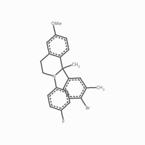 COc1ccc2c(c1)CCN(c1ccc(F)cc1)C2(C)c1ccc(Br)c(C)c1